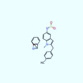 Cn1c(Cc2ccc(C#N)cc2)cc2cc(N=S(=O)=O)ccc21.c1cc2c3nc-2ccc3c1